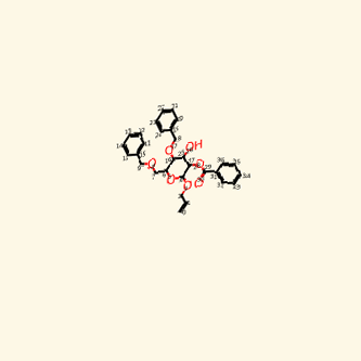 C=CCOC1OC(COCc2ccccc2)C(OCc2ccccc2)C(O)C1OC(=O)c1ccccc1